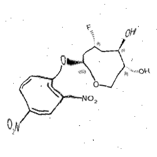 O=[N+]([O-])c1ccc(O[C@@H]2OC[C@@H](O)[C@H](O)[C@H]2F)c([N+](=O)[O-])c1